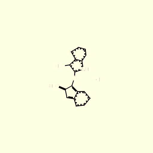 C=C1C=c2ccccc2=[C]1[Zr+2][c]1[nH]c2ccccc2c1C.[Cl-].[Cl-]